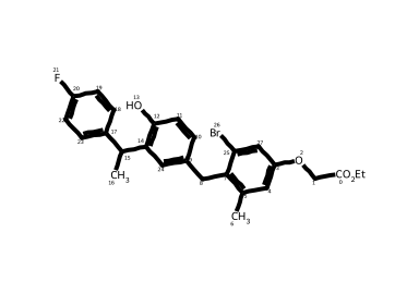 CCOC(=O)COc1cc(C)c(Cc2ccc(O)c(C(C)c3ccc(F)cc3)c2)c(Br)c1